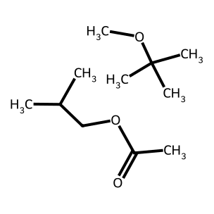 CC(=O)OCC(C)C.COC(C)(C)C